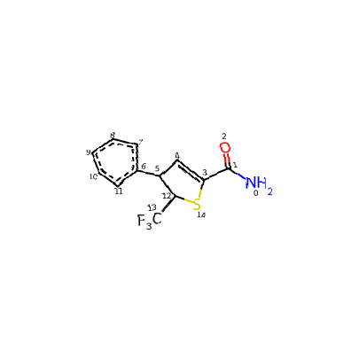 NC(=O)C1=CC(c2ccccc2)C(C(F)(F)F)S1